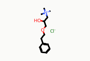 C[N+](C)(C)CC(O)COCCc1ccccc1.[Cl-]